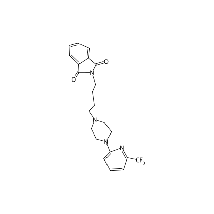 O=C1c2ccccc2C(=O)N1CCCCN1CCN(c2cccc(C(F)(F)F)n2)CC1